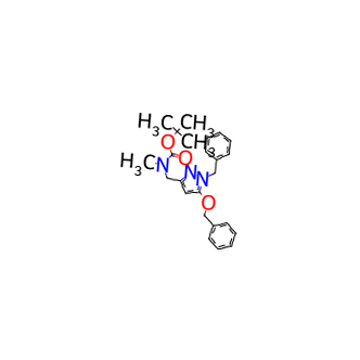 CN(Cc1cc(OCc2ccccc2)n(Cc2ccccc2)n1)C(=O)OC(C)(C)C